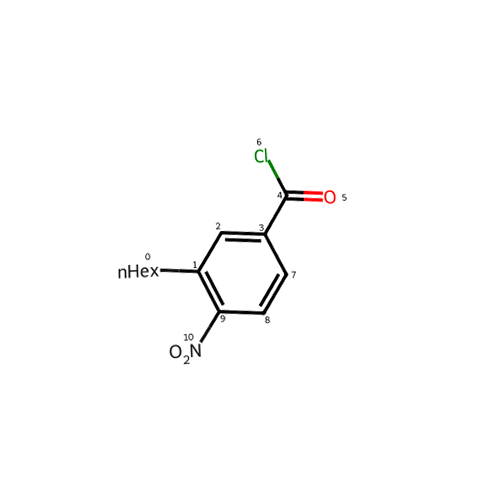 CCCCCCc1cc(C(=O)Cl)ccc1[N+](=O)[O-]